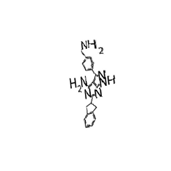 NCc1ccc(-c2n[nH]c3nc(C4Cc5ccccc5C4)nc(N)c23)cc1